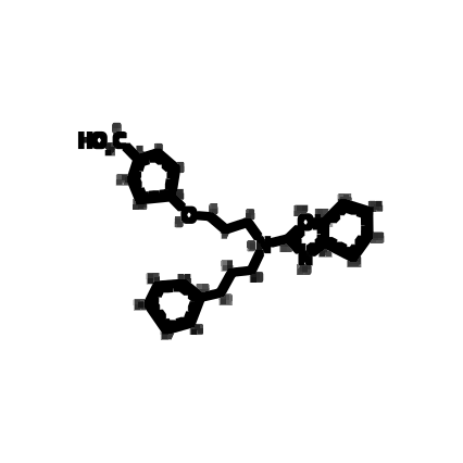 O=C(O)c1ccc(OCCCN(CCCc2ccccc2)c2nc3ccccc3o2)cc1